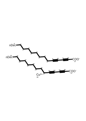 CCCCCCCCCCCCCCCCCCC#CC#CC(=O)[O-].CCCCCCCCCCCCCCCCCCC#CC#CC(=O)[O-].[Cu+2]